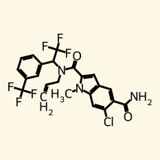 C=CCN(C(=O)c1cc2cc(C(N)=O)c(Cl)cc2n1C)C(c1cccc(C(F)(F)F)c1)C(F)(F)F